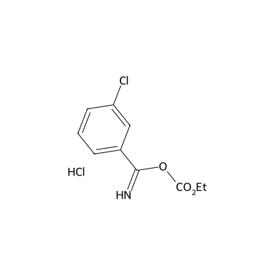 CCOC(=O)OC(=N)c1cccc(Cl)c1.Cl